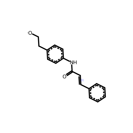 [O]CCc1ccc(NC(=O)/C=C/c2ccccc2)cc1